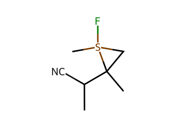 CC(C#N)C1(C)CS1(C)F